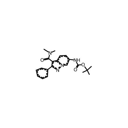 CN(C)C(=O)c1c(-c2ccccc2)nn2cc(NC(=O)OC(C)(C)C)ccc12